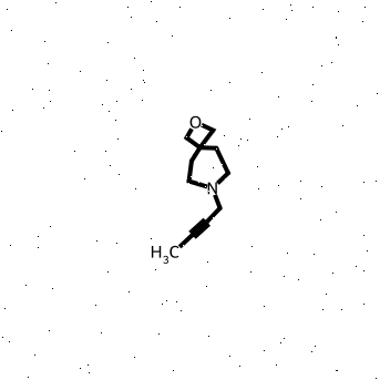 CC#CCN1CCC2(CC1)COC2